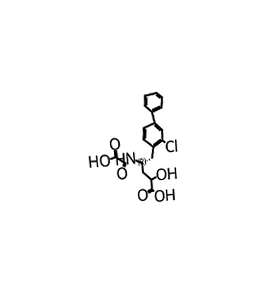 O=C(O)C(=O)N[C@H](Cc1ccc(-c2ccccc2)cc1Cl)CC(O)C(=O)O